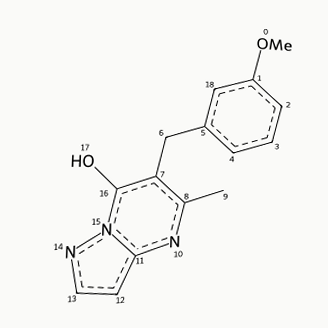 COc1cccc(Cc2c(C)nc3ccnn3c2O)c1